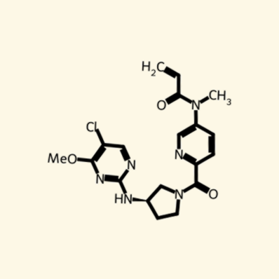 C=CC(=O)N(C)c1ccc(C(=O)N2CC[C@@H](Nc3ncc(Cl)c(OC)n3)C2)nc1